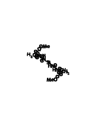 COc1ccc(C2OCC(C)(C)[C@H](C(=O)NCCC(=O)NCCSSCCNC(=O)CCNC(=O)[C@@H]3OC(c4ccc(OC)cc4)OCC3(C)C)O2)cc1